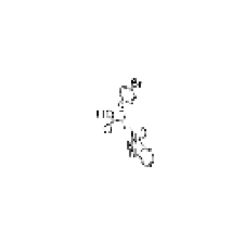 O=C(O)C(CCn1nnc2ccccc2c1=O)CSc1ccc(Br)cc1